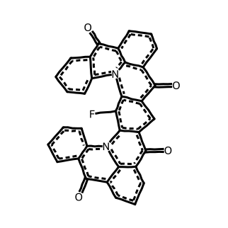 O=c1c2ccccc2n2c3c(F)c4c(cc3c(=O)c3cccc1c32)c(=O)c1cccc2c(=O)c3ccccc3n4c21